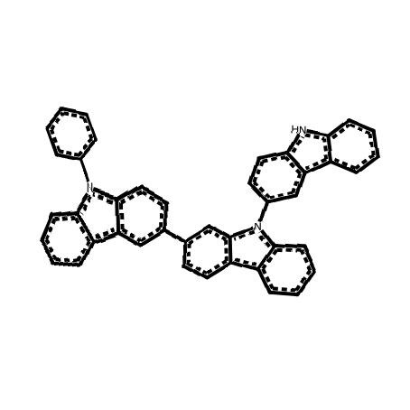 c1ccc(-n2c3ccccc3c3cc(-c4ccc5c6ccccc6n(-c6ccc7[nH]c8ccccc8c7c6)c5c4)ccc32)cc1